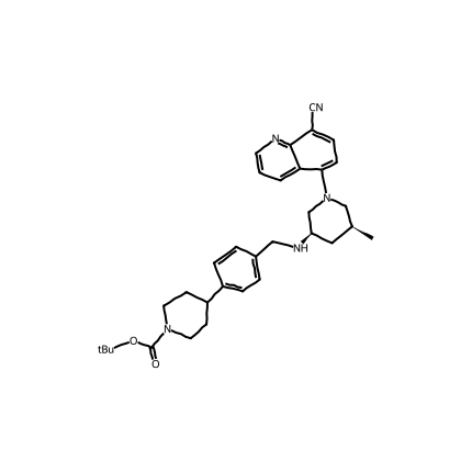 C[C@H]1C[C@@H](NCc2ccc(C3CCN(C(=O)OC(C)(C)C)CC3)cc2)CN(c2ccc(C#N)c3ncccc23)C1